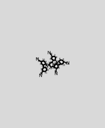 N#Cc1ccc(-n2c3ccc(C#N)cc3c3cc(C#N)ccc32)c(-c2cc(-n3c4ccc(C#N)cc4c4cc(C#N)ccc43)ccn2)c1